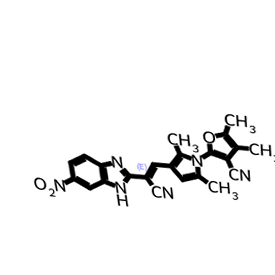 Cc1oc(-n2c(C)cc(/C=C(\C#N)c3nc4ccc([N+](=O)[O-])cc4[nH]3)c2C)c(C#N)c1C